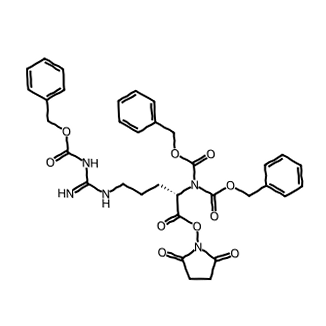 N=C(NCCC[C@@H](C(=O)ON1C(=O)CCC1=O)N(C(=O)OCc1ccccc1)C(=O)OCc1ccccc1)NC(=O)OCc1ccccc1